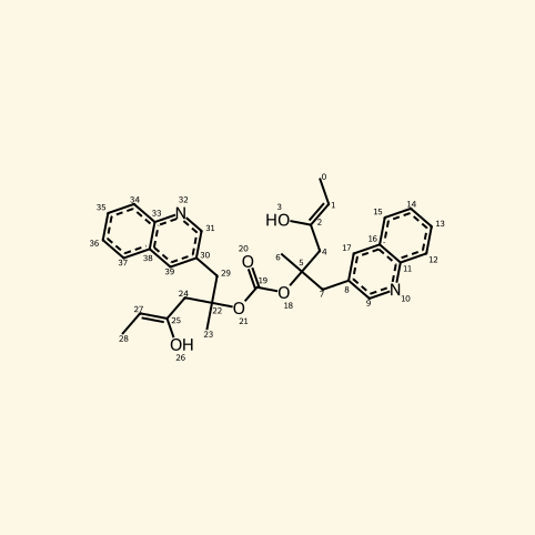 CC=C(O)CC(C)(Cc1cnc2ccccc2c1)OC(=O)OC(C)(CC(O)=CC)Cc1cnc2ccccc2c1